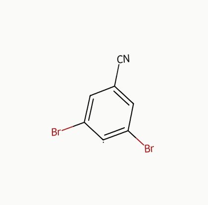 N#Cc1cc(Br)[c]c(Br)c1